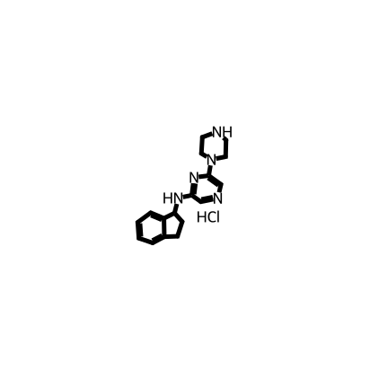 Cl.c1ccc2c(c1)CCC2Nc1cncc(N2CCNCC2)n1